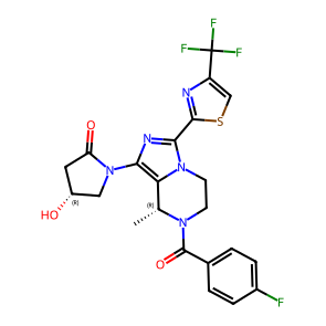 C[C@@H]1c2c(N3C[C@H](O)CC3=O)nc(-c3nc(C(F)(F)F)cs3)n2CCN1C(=O)c1ccc(F)cc1